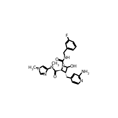 CN(C(=O)[C@@H]1[C@@H](Cc2ccnc(N)c2)C(O)N1C(=O)NCc1cccc(F)c1)c1cn(C)cn1